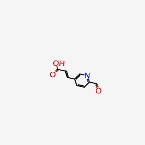 O=Cc1ccc(/C=C/C(=O)O)cn1